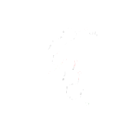 COc1ccc(/C=C\C(=O)CS(=O)(=O)c2cc3ccc(Cl)cc3oc2=O)cc1